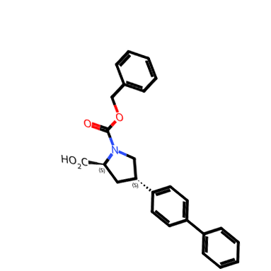 O=C(O)[C@@H]1C[C@@H](c2ccc(-c3ccccc3)cc2)CN1C(=O)OCc1ccccc1